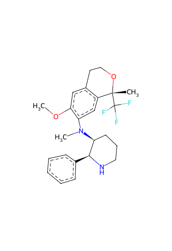 COc1cc2c(cc1N(C)[C@H]1CCCN[C@H]1c1ccccc1)[C@@](C)(C(F)(F)F)OCC2